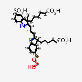 CC1(CCCCCC(=O)O)C(/C=C/C=C2\Nc3ccc(S(=O)(=O)O)cc3C2(C)CCCCCC(=O)O)=Nc2ccc(SOOO)cc21